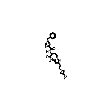 COC1CN(CCc2cc3n(n2)CCC(NC(=O)c2ncn(Cc4ccccc4)n2)C(=O)N3C)C1